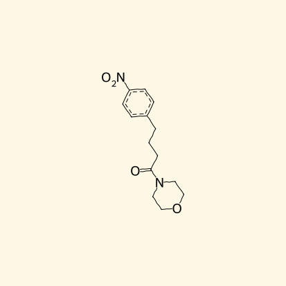 O=C(CCCc1ccc([N+](=O)[O-])cc1)N1CCOCC1